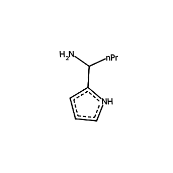 CCCC(N)c1ccc[nH]1